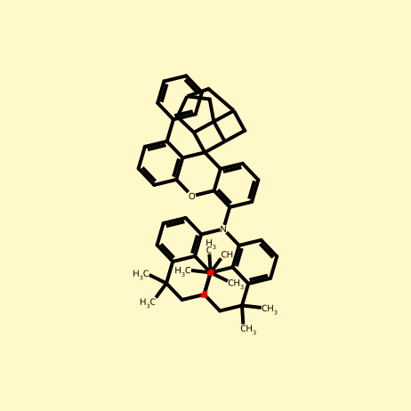 CC1(C)CCC(C)(C)c2c(N(c3cccc4c3Oc3cccc(-c5ccccc5)c3C43C4CC5CC6CC3C64C5)c3cccc4c3C(C)(C)CCC4(C)C)cccc21